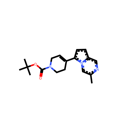 Cc1cn2c(C3=CCN(C(=O)OC(C)(C)C)CC3)ccc2cn1